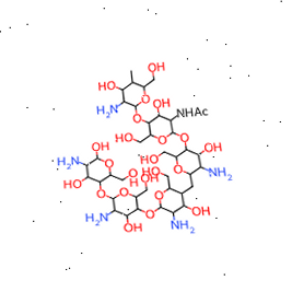 CC(=O)NC1C(OC2C(CO)OC(CC3C(CO)OC(OC4C(CO)OC(OC5C(CO)OC(O)C(N)C5O)C(N)C4O)C(N)C3O)C(N)C2O)OC(CO)C(OC2OC(CO)C(C)C(O)C2N)C1O